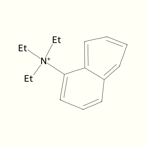 CC[N+](CC)(CC)c1cccc2ccccc12